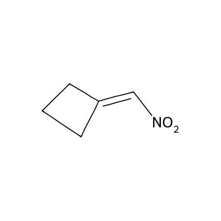 O=[N+]([O-])C=C1CCC1